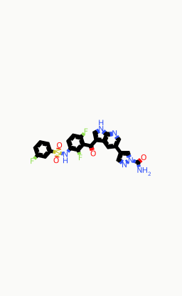 NC(=O)n1cc(-c2cnc3[nH]cc(C(=O)c4c(F)ccc(NS(=O)(=O)c5cccc(F)c5)c4F)c3c2)cn1